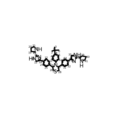 CC(C)(C)c1ccc(N2C(c3ccc(-c4c[nH]c([C@@H]5CCCN5)n4)cc3)CSCC2c2ccc(-c3c[nH]c([C@@H]4CCCN4)n3)cc2)cc1